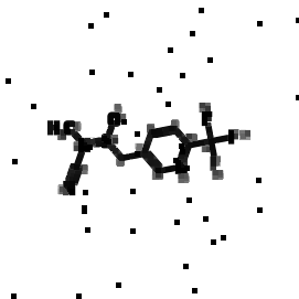 C[N+](C#N)=S([O-])Cc1ccc(C(F)(F)F)nc1